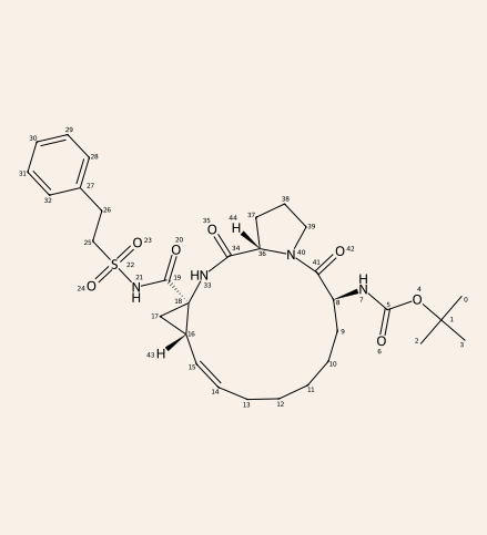 CC(C)(C)OC(=O)N[C@H]1CCCCC/C=C\[C@@H]2C[C@@]2(C(=O)NS(=O)(=O)CCc2ccccc2)NC(=O)[C@@H]2CCCN2C1=O